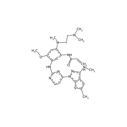 C=CC(=O)Nc1cc(Nc2nccc(-n3nc(NC)c4cc(C)sc43)n2)c(OC)cc1N(C)CCN(C)C